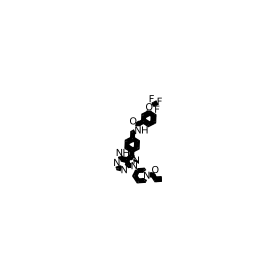 C=CC(=O)N1CCCC(n2nc(-c3ccc(CNC(=O)c4cccc(OC(F)(F)F)c4)cc3)c3c(N)ncnc32)C1